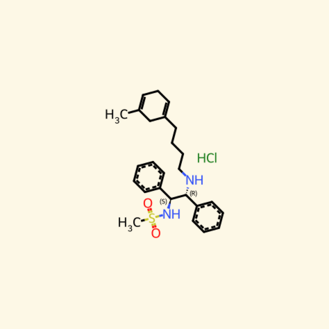 CC1=CCC=C(CCCCN[C@H](c2ccccc2)[C@@H](NS(C)(=O)=O)c2ccccc2)C1.Cl